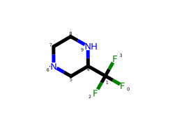 FC(F)(F)C1C[N]CCN1